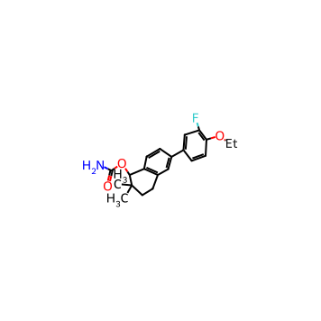 CCOc1ccc(-c2ccc3c(c2)CCC(C)(C)C3OC(N)=O)cc1F